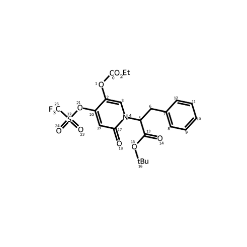 CCOC(=O)Oc1cn(C(Cc2ccccc2)C(=O)OC(C)(C)C)c(=O)cc1OS(=O)(=O)C(F)(F)F